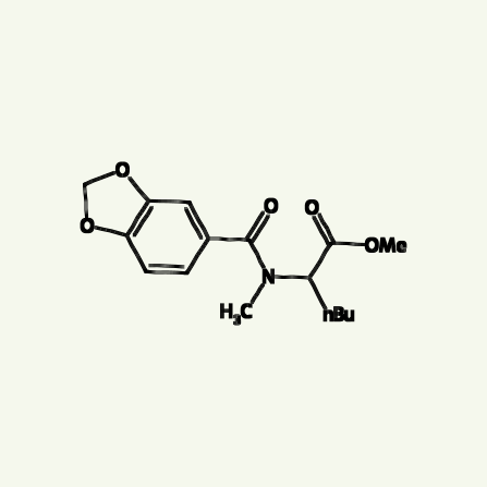 CCCCC(C(=O)OC)N(C)C(=O)c1ccc2c(c1)OCO2